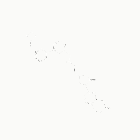 O=C1COc2ccc(N3CC(CCNCc4cccc(-c5cc(OC6CNC6)cnn5)c4)OC3=O)nc2N1